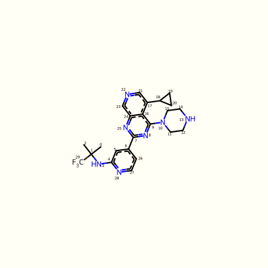 CC(C)(Nc1cc(-c2nc(N3CCNCC3)c3c(C4CC4)cncc3n2)ccn1)C(F)(F)F